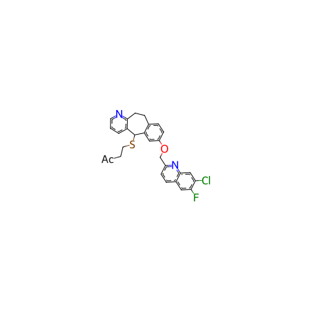 CC(=O)CCSC1c2cc(OCc3ccc4cc(F)c(Cl)cc4n3)ccc2CCc2ncccc21